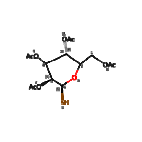 CC(=O)OCC1O[C@@H](S)[C@@H](OC(C)=O)C(OC(C)=O)[C@@H]1OC(C)=O